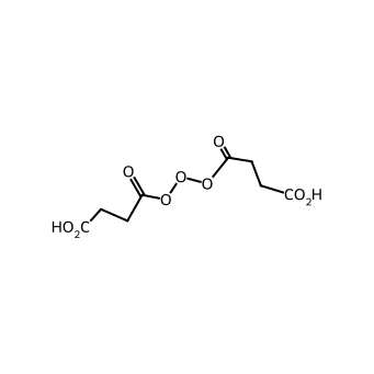 O=C(O)CCC(=O)OOOC(=O)CCC(=O)O